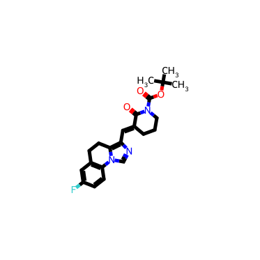 CC(C)(C)OC(=O)N1CCC/C(=C\c2ncn3c2CCc2cc(F)ccc2-3)C1=O